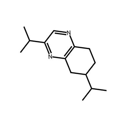 CC(C)c1cnc2c(n1)CC(C(C)C)CC2